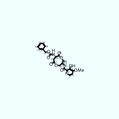 COc1ccnc(C(=O)NC2COC(=O)C[C@H](NC(=O)OCc3ccccc3)C(=O)OC2)c1O